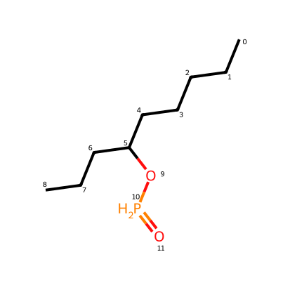 CCCCCC(CCC)O[PH2]=O